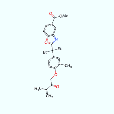 C=C(C)C(=O)COc1ccc(C(CC)(CC)c2nc3cc(C(=O)OC)ccc3o2)cc1C